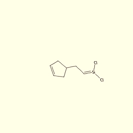 Cl[Si](Cl)=CCC1CC=CC1